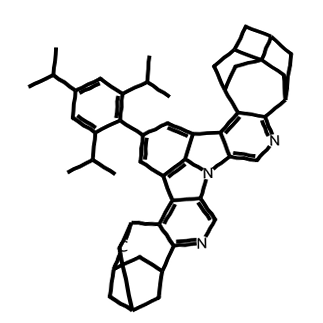 CC(C)c1cc(C(C)C)c(-c2cc3c4c5c(ncc4n4c6cnc7c(c6c(c2)c34)C2CC3CC4CC7CC43C2)C2CC3CC(C2)CC5C3)c(C(C)C)c1